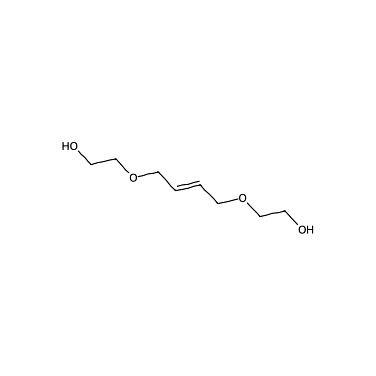 OCCOCC=CCOCCO